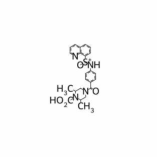 CC1CN(C(=O)c2ccc(N[S+]([O-])c3cccc4cccnc34)cc2)CC(C)N1C(=O)O